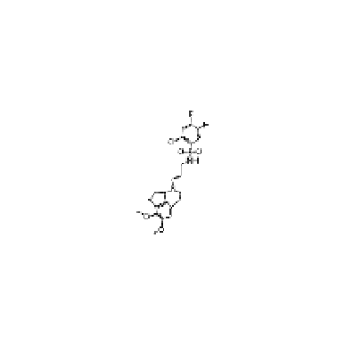 COc1cc2c3c(c1OC)CCC3N(CCCNS(=O)(=O)c1cc(F)c(F)cc1Cl)CC2